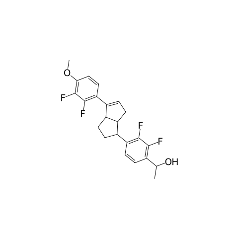 COc1ccc(C2=CCC3C2CCC3c2ccc(C(C)O)c(F)c2F)c(F)c1F